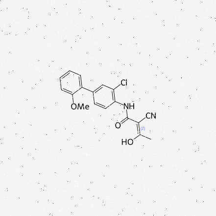 COc1ccccc1-c1ccc(NC(=O)/C(C#N)=C(/C)O)c(Cl)c1